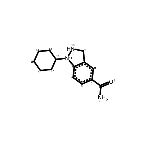 NC(=O)c1ccc2c(c1)CNN2C1CCCCC1